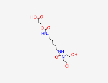 O=C(O)CCOC(=O)NCCCCCCNC(=O)N(CCO)CCO